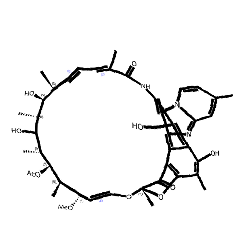 CO[C@H]1/C=C/O[C@@]2(C)Oc3c(C)c(O)c4c(O)c(c5c(nc6cc(C)ccn65)c4c3C2=O)NC(=O)/C(C)=C\C=C\[C@H](C)[C@H](O)[C@@H](C)C(O)[C@@H](C)[C@H](OC(C)=O)[C@@H]1C